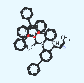 C=C(/C=C\C)c1ccc(-c2ccccc2)cc1N(c1ccccc1-c1nc(-c2ccccc2)nc(-c2ccccc2)n1)C(C)n1c2ccccc2c2ccccc21